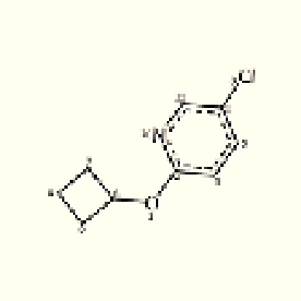 Clc1ccc(OC2CCC2)nc1